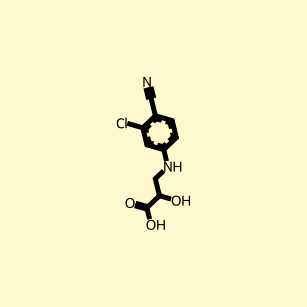 N#Cc1ccc(NCC(O)C(=O)O)cc1Cl